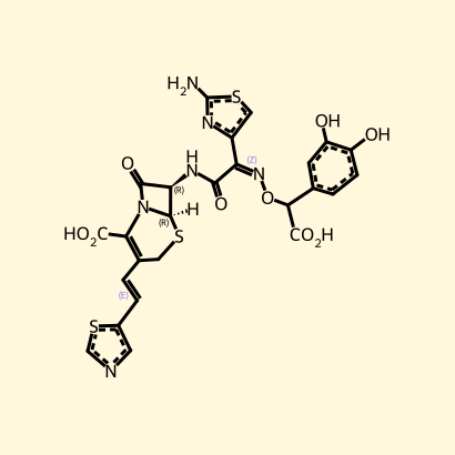 Nc1nc(/C(=N/OC(C(=O)O)c2ccc(O)c(O)c2)C(=O)N[C@@H]2C(=O)N3C(C(=O)O)=C(/C=C/c4cncs4)CS[C@H]23)cs1